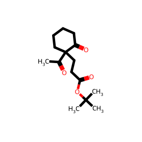 CC(=O)C1(CCC(=O)OC(C)(C)C)CCCCC1=O